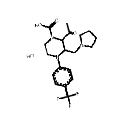 CC(=O)C1C(CN2CCCC2)N(c2ccc(C(F)(F)F)cc2)CCN1C(=O)O.Cl